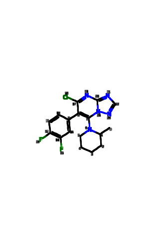 CC1CCCCN1c1c(-c2ccc(F)c(F)c2)c(Cl)nc2ncnn12